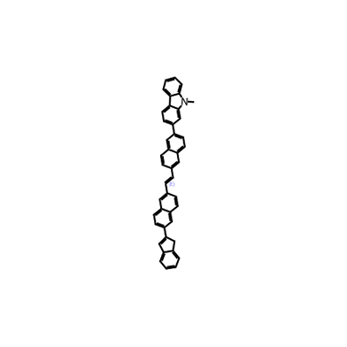 Cn1c2ccccc2c2ccc(-c3ccc4cc(/C=C/c5ccc6cc(C7=Cc8ccccc8C7)ccc6c5)ccc4c3)cc21